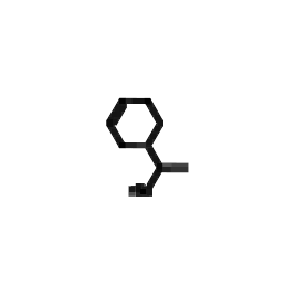 C=C(CCCC)C1CC=CCC1